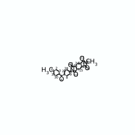 Cc1ccc(C(=O)c2ccc(-n3c(=O)c4cc5c(=O)n(C)c(=O)c5cc4c3=O)cc2)cc1